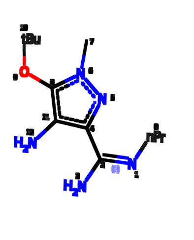 CCC/N=C(/N)c1nn(C)c(OC(C)(C)C)c1N